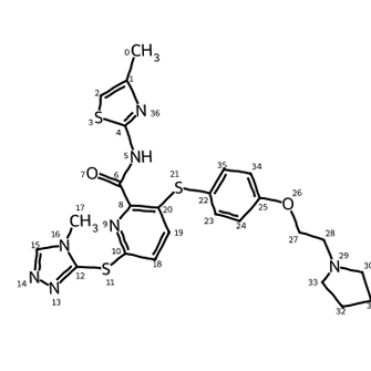 Cc1csc(NC(=O)c2nc(Sc3nncn3C)ccc2Sc2ccc(OCCN3CCCC3)cc2)n1